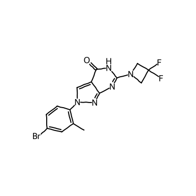 Cc1cc(Br)ccc1-n1cc2c(=O)[nH]c(N3CC(F)(F)C3)nc2n1